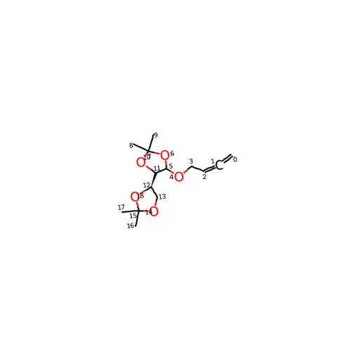 C=C=CCOC1OC(C)(C)OC1[C@H]1COC(C)(C)O1